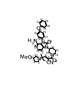 CO[C@H]1CCN(C(C)(C)C=C(C#N)C(=O)N2CCC[C@@H](n3c(=O)n(-c4ccc(Oc5ccccc5)cc4)c4c(N)nccc43)C2)C1